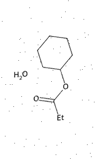 CCC(=O)OC1CCCCC1.O